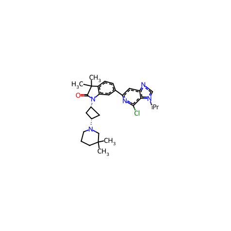 CC(C)n1cnc2cc(-c3ccc4c(c3)N([C@H]3C[C@@H](N5CCCC(C)(C)C5)C3)C(=O)C4(C)C)nc(Cl)c21